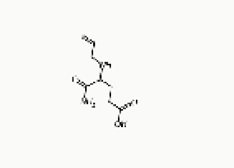 C=CCNC(CCC(=O)O)C(N)=O